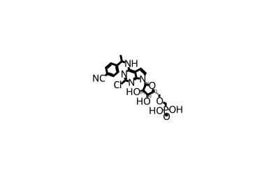 CC(Nc1nc(Cl)nc2c1ccn2[C@@H]1O[C@H](COCP(=O)(O)O)[C@@H](O)[C@H]1O)c1ccc(C#N)cc1